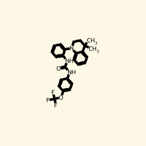 CC1(C)CCN(c2ccccc2NC(=O)Nc2ccc(OC(F)(F)F)cc2)c2ccccc21